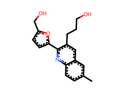 Cc1ccc2nc(-c3ccc(CO)o3)c(CCCO)cc2c1